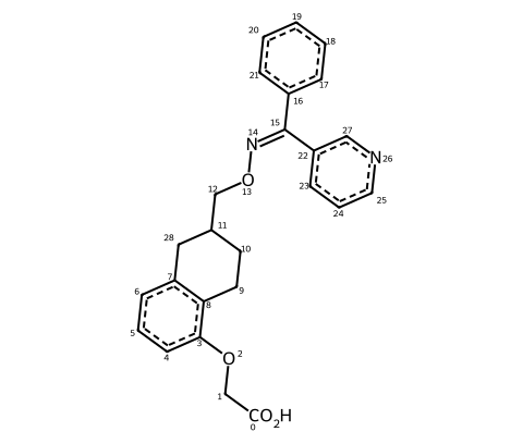 O=C(O)COc1cccc2c1CCC(CON=C(c1ccccc1)c1cccnc1)C2